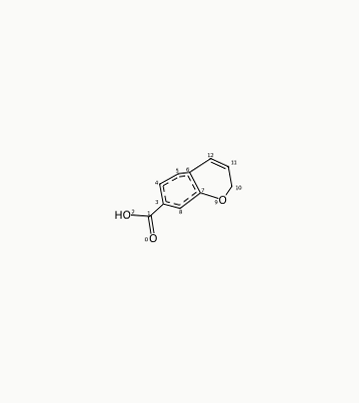 O=C(O)c1ccc2c(c1)OCC=C2